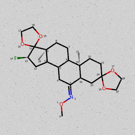 CON=C1CC2C(CC[C@@]3(C)C2C[C@@H](F)C32OCCO2)[C@@]2(C)CCC3(CC12)OCCO3